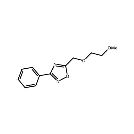 COCCOCc1nc(-c2cc[c]cc2)no1